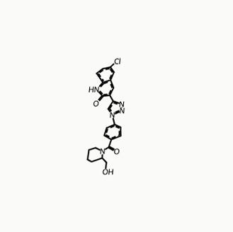 O=C(c1ccc(-n2cc(-c3cc4cc(Cl)ccc4[nH]c3=O)nn2)cc1)N1CCCCC1CO